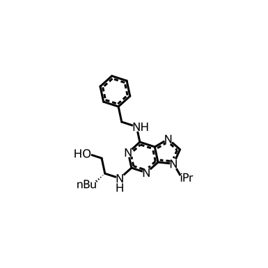 CCCC[C@H](CO)Nc1nc(NCc2ccccc2)c2ncn(C(C)C)c2n1